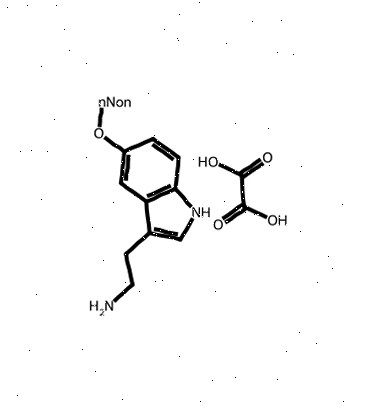 CCCCCCCCCOc1ccc2[nH]cc(CCN)c2c1.O=C(O)C(=O)O